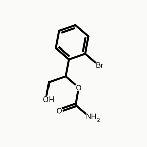 NC(=O)OC(CO)c1ccccc1Br